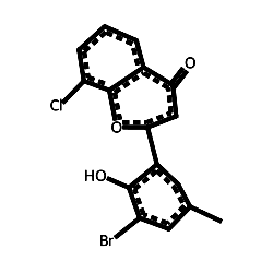 Cc1cc(Br)c(O)c(-c2cc(=O)c3cccc(Cl)c3o2)c1